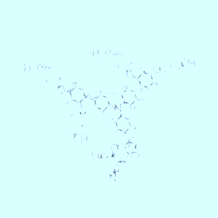 CCCCOc1ccc(-c2ccc(N(c3ccc(-c4ccc(C=C(C#N)C(=O)O)s4)cc3)c3ccc(-c4ccc(OCCCC)cc4OCCCC)cc3)cc2)c(OCCCC)c1